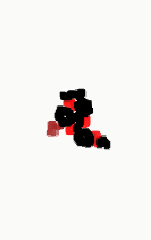 C=C1C=C(C)c2ccc3oc(C(=O)c4cccc(OCCC)c4)c(-c4cccc(Br)c4)c3c2O1